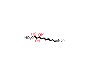 CCCCCCCCCCCC=CC=CC=C(O)C(O)=C(O)C(=O)O